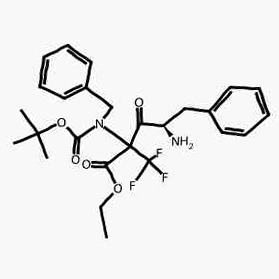 CCOC(=O)C(C(=O)[C@H](N)Cc1ccccc1)(N(Cc1ccccc1)C(=O)OC(C)(C)C)C(F)(F)F